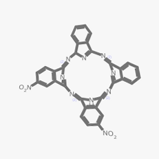 O=[N+]([O-])c1ccc2c(c1)C1=NC/2=N\C2N=C(/N=C3N=C(/N=c4\[nH]/c(c5ccc([N+](=O)[O-])cc45)=N\1)c1ccccc1\3)c1ccccc12